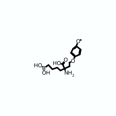 COc1ccc(OCCC(N)(CCCCB(O)O)C(=O)O)cc1